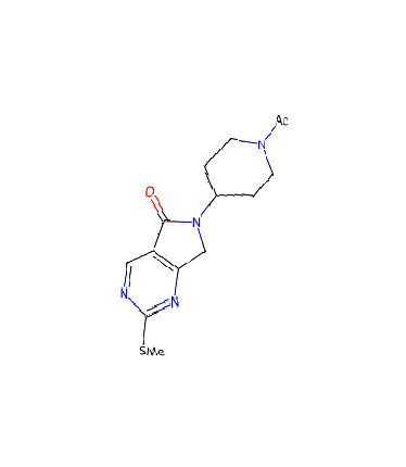 CSc1ncc2c(n1)CN(C1CCN(C(C)=O)CC1)C2=O